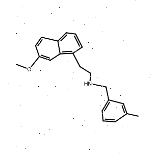 COc1ccc2cccc(CCNCc3cccc(C)c3)c2c1